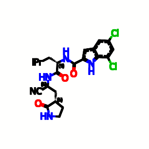 CC(C)C[C@H](NC(=O)c1cc2cc(Cl)cc(Cl)c2[nH]1)C(=O)N[C@H](C#N)C[C@@H]1CCNC1=O